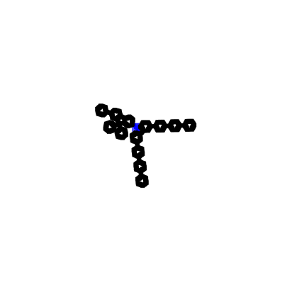 c1ccc(-c2ccc(-c3ccc(-c4ccc5c(c4)c4cc(-c6ccc(-c7ccc(-c8ccccc8)cc7)cc6)ccc4n5-c4ccc5c(c4)C(c4ccccc4)(c4ccccc4)c4cc(-c6ccccc6)ccc4-5)cc3)cc2)cc1